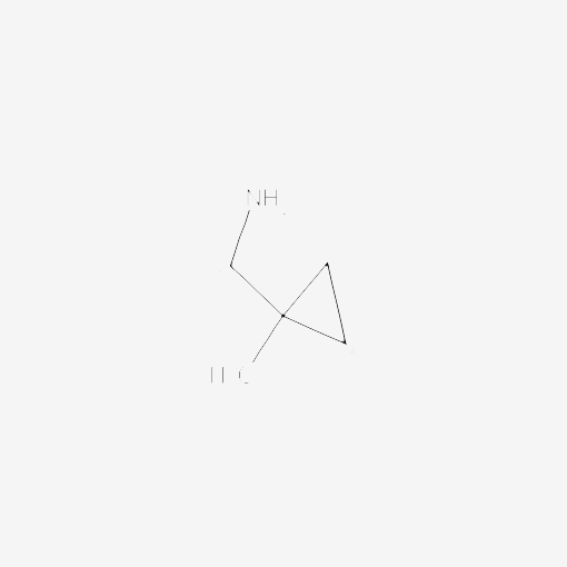 CC1(CN)CC1